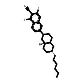 CCCCCC[C@@H]1CC[C@@H]2CC(c3ccc4c(F)c(C#N)c(F)cc4c3)CCC2C1